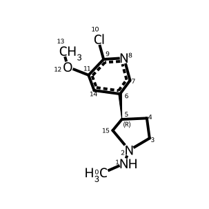 CNN1CC[C@H](c2cnc(Cl)c(OC)c2)C1